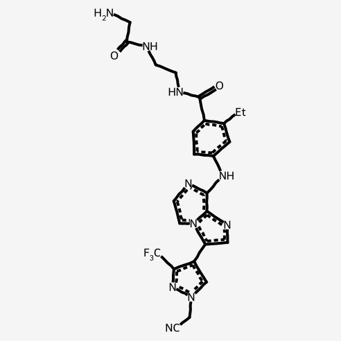 CCc1cc(Nc2nccn3c(-c4cn(CC#N)nc4C(F)(F)F)cnc23)ccc1C(=O)NCCNC(=O)CN